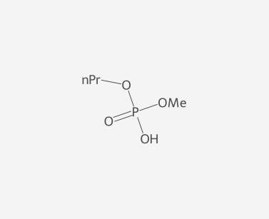 CCCOP(=O)(O)OC